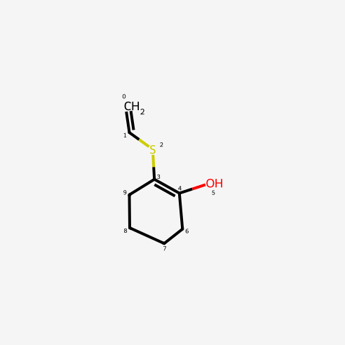 C=CSC1=C(O)CCCC1